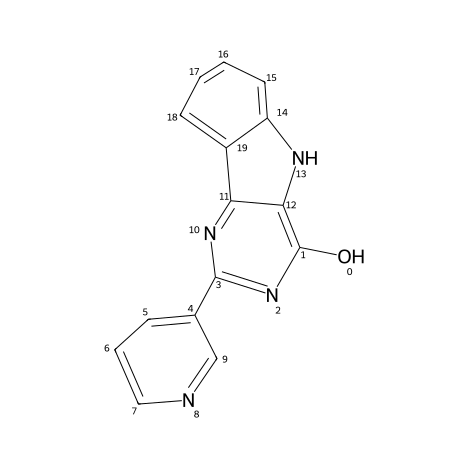 Oc1nc(-c2cccnc2)nc2c1[nH]c1ccccc12